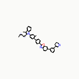 C/C=C\C=C/c1c(C)c2ccccc2n1-c1ccc(-c2ccc(-c3nc4ccc(-c5cccc(C6=CN=CCC6)c5)cc4o3)cc2)c(C)c1